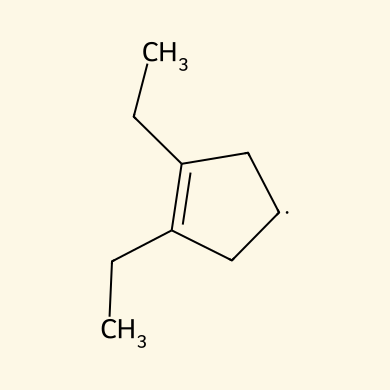 CCC1=C(CC)C[CH]C1